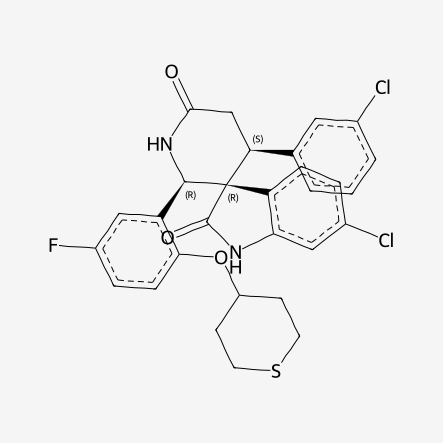 O=C1C[C@@H](c2cccc(Cl)c2)[C@]2(C(=O)Nc3cc(Cl)ccc32)[C@@H](c2cc(F)ccc2OC2CCSCC2)N1